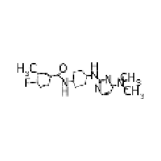 Cc1cc(C(=O)NC2CCC(Nc3nccc(N(C)C)n3)CC2)ccc1F